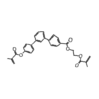 C=C(C)C(=O)OCCOC(=O)c1ccc(-c2cccc(-c3ccc(OC(=O)C(=C)C)cc3)c2)cc1